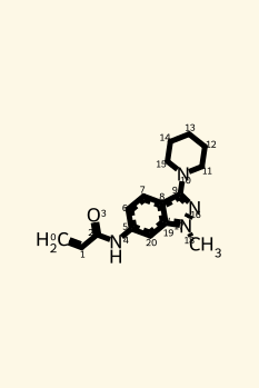 C=CC(=O)Nc1ccc2c(N3CCCCC3)nn(C)c2c1